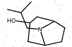 CC(C)CN1C2CCC1CC(O)C2